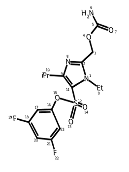 CCn1c(COC(N)=O)nc(C(C)C)c1S(=O)(=O)Oc1cc(F)cc(F)c1